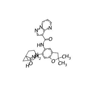 CC1(C)Cc2cc(NC(=O)c3cnn4cccnc34)c(N3CCC4(C(N)=O)C[C@@H]4C3)cc2O1